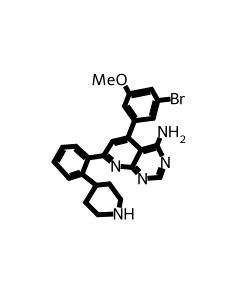 COc1cc(Br)cc(-c2cc(-c3ccccc3C3CCNCC3)nc3ncnc(N)c23)c1